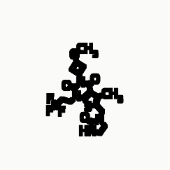 COC1CC(n2c(=O)c3c(C)c(CN4CCNC4=O)sc3n(CCC(F)(F)F)c2=O)C1